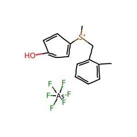 Cc1ccccc1C[S+](C)c1ccc(O)cc1.F[As-](F)(F)(F)(F)F